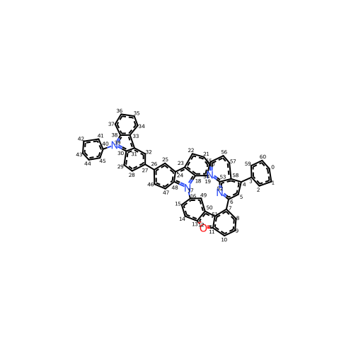 c1ccc(-c2cc(-c3cccc4oc5ccc(-n6c7ccccc7c7cc(-c8ccc9c(c8)c8ccccc8n9-c8ccccc8)ccc76)cc5c34)nc3ncccc23)cc1